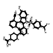 N#Cc1cccc(C#N)c1-c1c(-c2cccc(C3CCC(C(=O)O)CC3)c2)n(S(=O)(=O)c2ccc(C(F)F)cc2)c2ccc(F)cc12